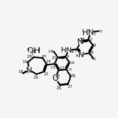 CNc1cc(C)nc(Nc2cc3c(c(C4=CCN(C)C[C@H](O)C4)c2C)OCCC3)n1